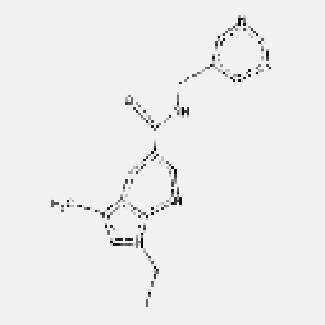 Cc1cn(SI)c2ncc(C(=O)NCc3cncnc3)cc12